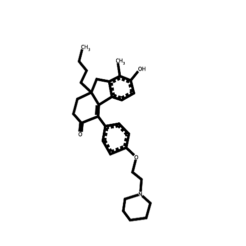 CCCCC12CCC(=O)C(c3ccc(OCCN4CCCCC4)cc3)=C1c1ccc(O)c(C)c1C2